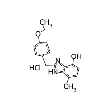 CCOc1ccc(Cc2nc3c(O)ccc(C)c3[nH]2)cc1.Cl